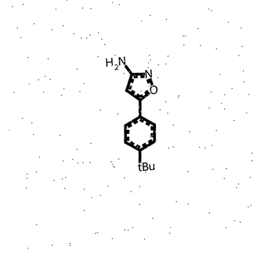 CC(C)(C)c1ccc(-c2cc(N)no2)cc1